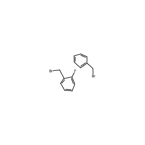 BrCc1ccccc1.Fc1ccccc1CBr